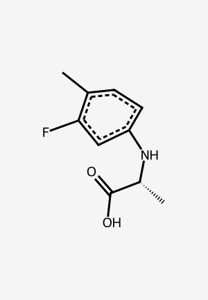 Cc1ccc(N[C@H](C)C(=O)O)cc1F